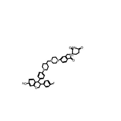 O=C1CC[C@H](N2Cc3cc(N4CCN(CC5CCN(c6ccc(C7c8ccc(O)cc8OCC7c7ccc(F)cc7)cc6)CC5)CC4)ccc3C2=O)C(=O)N1